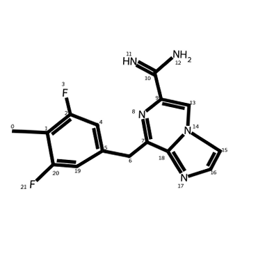 Cc1c(F)cc(Cc2nc(C(=N)N)cn3ccnc23)cc1F